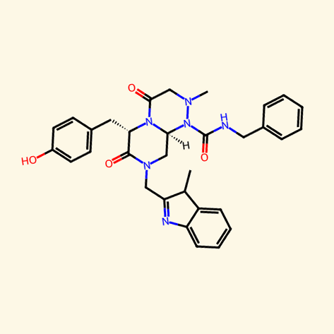 CC1C(CN2C[C@H]3N(C(=O)CN(C)N3C(=O)NCc3ccccc3)[C@@H](Cc3ccc(O)cc3)C2=O)=Nc2ccccc21